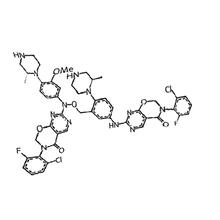 COc1cc(N(OCc2cc(Nc3ncc4c(n3)OCN(c3c(F)cccc3Cl)C4=O)ccc2N2CCNC[C@H]2C)c2ncc3c(n2)OCN(c2c(F)cccc2Cl)C3=O)ccc1N1CCNC[C@H]1C